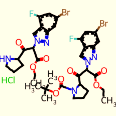 CCOC(=O)C(C(=O)C1CCCN1)n1cc2c(F)cc(Br)cc2n1.CCOC(=O)C(C(=O)C1CCCN1C(=O)OC(C)(C)C)n1cc2c(F)cc(Br)cc2n1.Cl